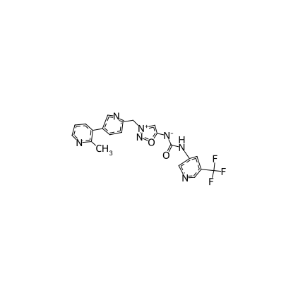 Cc1ncccc1-c1ccc(C[n+]2cc([N-]C(=O)Nc3cncc(C(F)(F)F)c3)on2)nc1